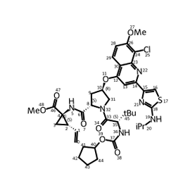 C=C[C@@H]1C[C@]1(NC(=O)[C@@H]1C[C@@H](Oc2cc(-c3csc(NC(C)C)n3)nc3c(Cl)c(OC)ccc23)CN1C(=O)[C@@H](NC(=O)OC1CCCC1)C(C)(C)C)C(=O)OC